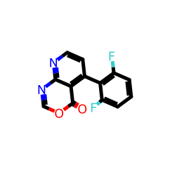 O=c1ocnc2nccc(-c3c(F)cccc3F)c12